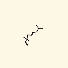 C=CC(C)(C)CC=CCC(C)C